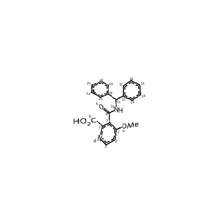 COc1ccnc(C(=O)O)c1C(=O)NC(c1ccccc1)c1ccccc1